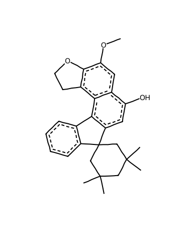 COc1cc2c(O)cc3c(c2c2c1OCC2)-c1ccccc1C31CC(C)(C)CC(C)(C)C1